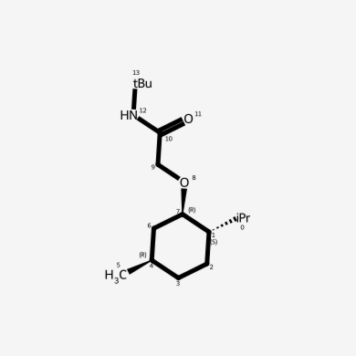 CC(C)[C@@H]1CC[C@@H](C)C[C@H]1OCC(=O)NC(C)(C)C